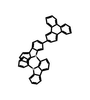 c1ccc(-n2c3ccccc3c3cccc(-n4c5ccccc5c5ccc(-c6ccc7c8ccccc8c8ccccc8c7c6)cc54)c32)cc1